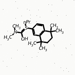 CCCS(=C(O)N(C)C)c1ccc2c(c1)C(C)(C)CCC2(C)C